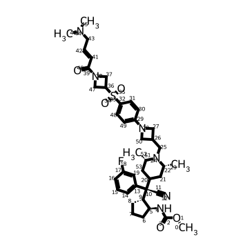 COC(=O)N[C@H]1CCC[C@@H]1[C@](C#N)(c1cccc(F)c1)C1C[C@@H](C)N(CC2CN(c3ccc(S(=O)(=O)C4CN(C(=O)/C=C/CN(C)C)C4)cc3)C2)[C@@H](C)C1